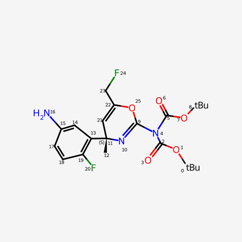 CC(C)(C)OC(=O)N(C(=O)OC(C)(C)C)C1=N[C@](C)(c2cc(N)ccc2F)C=C(CF)O1